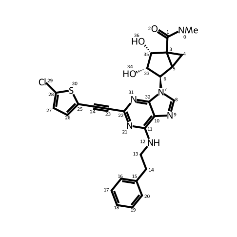 CNC(=O)C12CC1[C@@H](n1cnc3c(NCCc4ccccc4)nc(C#Cc4ccc(Cl)s4)nc31)[C@H](O)[C@@H]2O